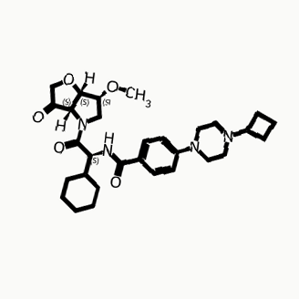 CO[C@H]1CN(C(=O)[C@@H](NC(=O)c2ccc(N3CCN(C4CCC4)CC3)cc2)C2CCCCC2)[C@@H]2C(=O)CO[C@H]12